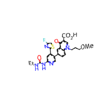 CCNC(=O)Nc1cc(-c2nc(F)cs2)c(-c2ccc3c(c2)c(=O)c(C(=O)O)cn3CCCOC)cn1